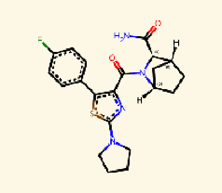 NC(=O)[C@H]1[C@@H]2CC[C@@H](C2)N1C(=O)c1nc(N2CCCC2)sc1-c1ccc(F)cc1